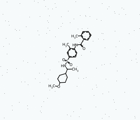 COC1CCC(C(C)NS(=O)(=O)c2ccc(NC(=O)c3ccccc3C)c(C)c2)CC1